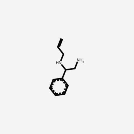 C=CCNC(CN)c1ccccc1